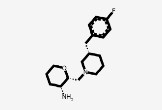 N[C@@H]1CCCO[C@@H]1CN1CCC[C@@H](Cc2ccc(F)cc2)C1